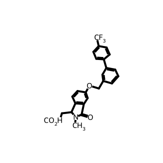 CN1C(=O)c2cc(OCc3cccc(-c4ccc(C(F)(F)F)cc4)c3)ccc2C1CC(=O)O